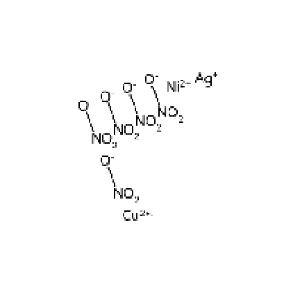 O=[N+]([O-])[O-].O=[N+]([O-])[O-].O=[N+]([O-])[O-].O=[N+]([O-])[O-].O=[N+]([O-])[O-].[Ag+].[Cu+2].[Ni+2]